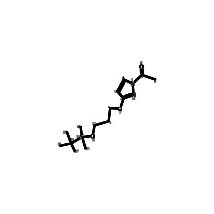 CC(=O)n1ccc(OCCCO[Si](C)(C)C(C)(C)C)n1